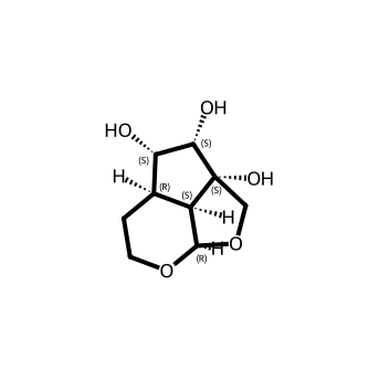 O[C@H]1[C@@H]2CCO[C@@H]3OC[C@@](O)([C@@H]32)[C@H]1O